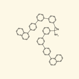 NC1(c2cccc(-c3cccc(-c4ccc(-c5cccc6ccccc56)cc4)c3)c2)N=C1c1cccc(-c2cccc(-c3ccc(-c4cccc5ccccc45)cc3)c2)c1